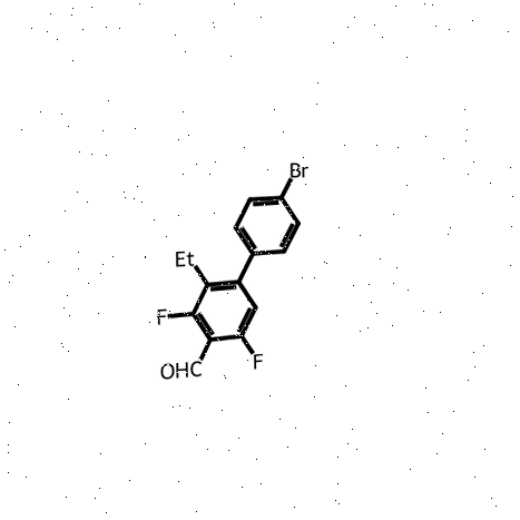 CCc1c(-c2ccc(Br)cc2)cc(F)c(C=O)c1F